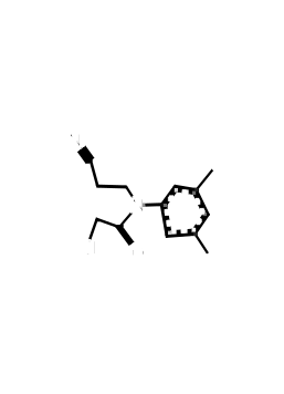 Cc1cc(C)cc(N(CCC#N)C(=O)CCl)c1